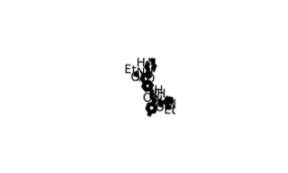 CCC(=O)N[C@@H](C(=O)N1CCN(C)CC1)[C@@H](C)c1ccc(NC(=O)[C@@H](NC(=O)c2ccnn2CC)C2CCC(C)CC2)cc1